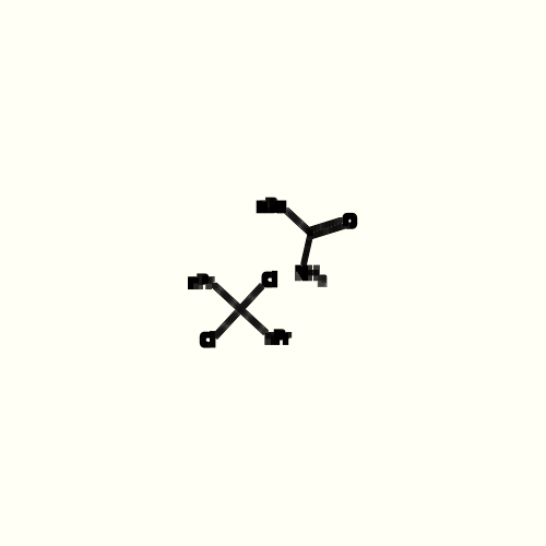 CCCC(Cl)(Cl)CCC.CCCCC(N)=O